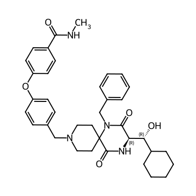 CNC(=O)c1ccc(Oc2ccc(CN3CCC4(CC3)C(=O)N[C@H]([C@H](O)C3CCCCC3)C(=O)N4Cc3ccccc3)cc2)cc1